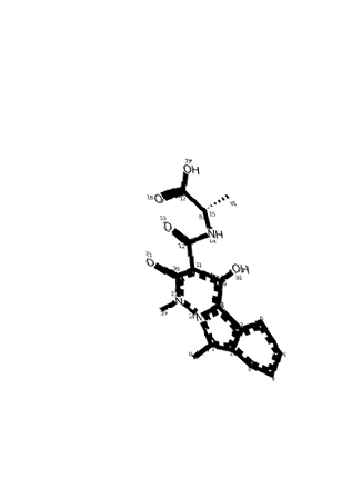 Cc1c2ccccc2c2c(O)c(C(=O)N[C@@H](C)C(=O)O)c(=O)n(C)n12